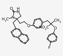 CN1C(=O)NCC1(CCOc1ccc(CC(C)(Oc2ccc(F)cc2)C(=O)O)cc1)Cc1ccc2ccccc2c1